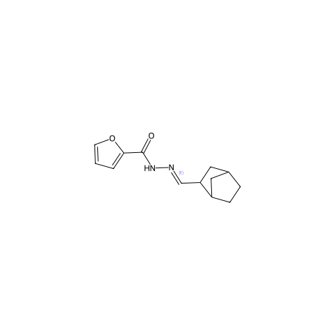 O=C(N/N=C/C1CC2CCC1C2)c1ccco1